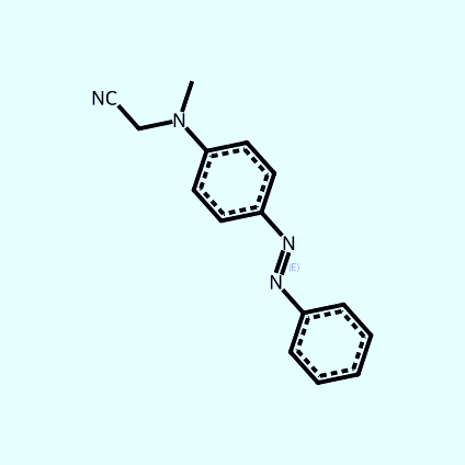 CN(CC#N)c1ccc(/N=N/c2ccccc2)cc1